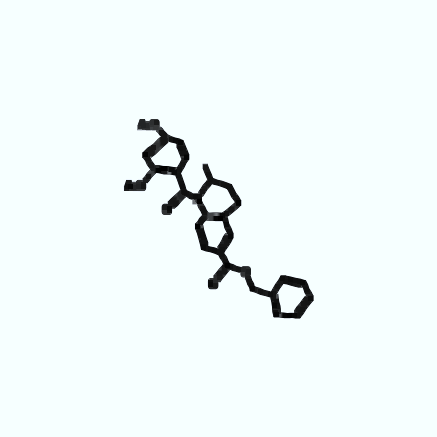 CC(=O)Oc1ccc(C(=O)N2c3ccc(C(=O)OCc4ccccc4)cc3CCC2C)c(OC(C)=O)c1